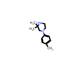 Cc1ccc(N2CCNC(C)(C)C2)cc1